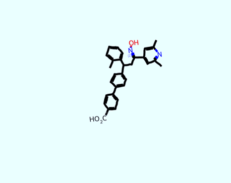 Cc1cc(/C(CC(c2ccc(-c3ccc(C(=O)O)cc3)cc2)c2ccccc2C)=N\O)cc(C)n1